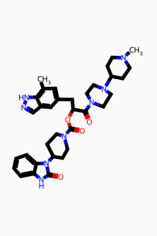 Cc1cc(CC(OC(=O)N2CCC(n3c(=O)[nH]c4ccccc43)CC2)C(=O)N2CCN(C3CCN(C)CC3)CC2)cc2cn[nH]c12